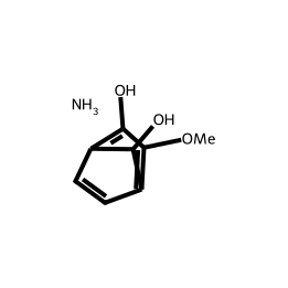 COC1=C2C=CC(=C1O)C2O.N